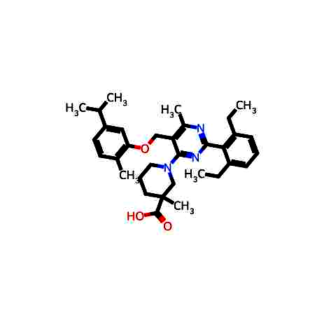 CCc1cccc(CC)c1-c1nc(C)c(COc2cc(C(C)C)ccc2C)c(N2CCCC(C)(C(=O)O)C2)n1